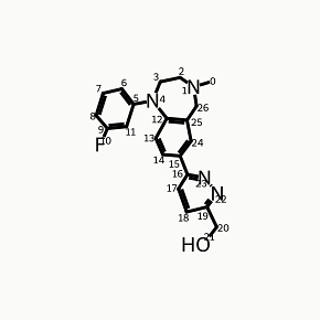 CN1CCN(c2cccc(F)c2)c2ccc(-c3ccc(CO)nn3)cc2C1